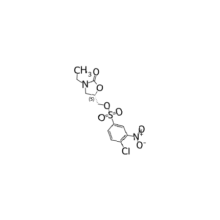 CCN1C[C@@H](COS(=O)(=O)c2ccc(Cl)c([N+](=O)[O-])c2)OC1=O